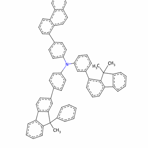 CC1(C)c2ccccc2-c2cccc(-c3cccc(N(c4ccc(-c5ccc6c(c5)C(C)(c5ccccc5)c5ccccc5-6)cc4)c4ccc(-c5cccc6c5ccc5ccccc56)cc4)c3)c21